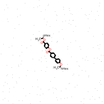 CCCCCC[C@H](C)OC(=O)c1ccc(OC(=O)c2ccc(-c3ccc(O[C@@H](C)CCCCCC)cc3)cc2)cc1